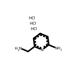 Cl.Cl.Cl.NCc1cccc(N)n1